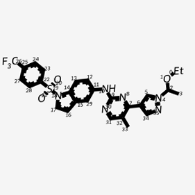 CCOC(C)n1cc(-c2nc(Nc3ccc4c(ccn4S(=O)(=O)c4ccc(C(F)(F)F)cc4)c3)ncc2C)cn1